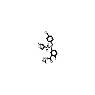 CC(C)NC(=O)c1cc(N(Cc2ccc(Cl)cc2)S(=O)(=O)c2cnn(C)c2)ccc1F